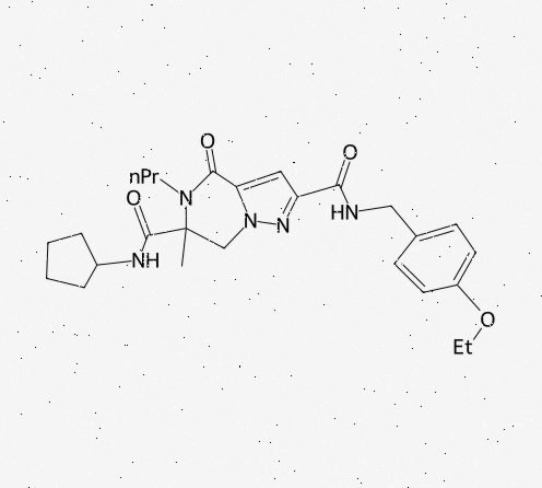 CCCN1C(=O)c2cc(C(=O)NCc3ccc(OCC)cc3)nn2CC1(C)C(=O)NC1CCCC1